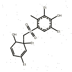 CCC1=CC(CC)(CS(=O)(=O)c2cc(CC)c(O)c(CC)c2C)C(O)C=C1